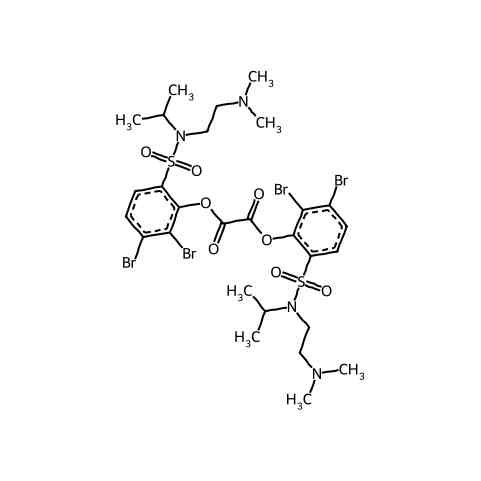 CC(C)N(CCN(C)C)S(=O)(=O)c1ccc(Br)c(Br)c1OC(=O)C(=O)Oc1c(S(=O)(=O)N(CCN(C)C)C(C)C)ccc(Br)c1Br